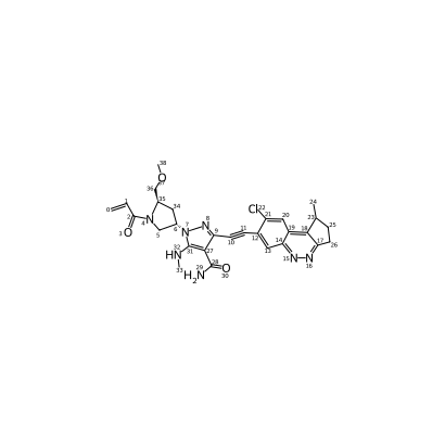 C=CC(=O)N1C[C@@H](n2nc(C#Cc3cc4nnc5c(c4cc3Cl)C(C)CC5)c(C(N)=O)c2NC)C[C@@H]1COC